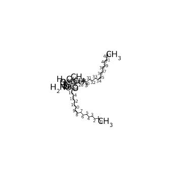 CCCCCCCC/C=C\CCCCCCCC(=O)C(CS(N)(=O)=O)(C(=O)CCCCCCC/C=C\CCCCCCCC)C(C)(C)C